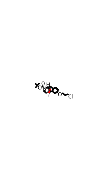 CC(C)(C)OC(=O)N1CC[C@]23CCCC[C@H]2[C@H]1Cc1ccc(OCCCCl)cc13